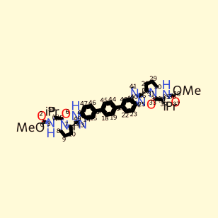 COC(=O)N[C@H](C(=O)N1CCC[C@H]1c1nc2cc(-c3ccc(-c4ccc5nc([C@@H]6CCCN6C(=O)[C@@H](NC(=O)OC)C(C)C)n(C)c5c4)cc3)ccc2[nH]1)C(C)C